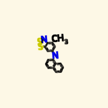 Cc1c/c(=N/c2cccc3ccccc23)cc2ssnc1-2